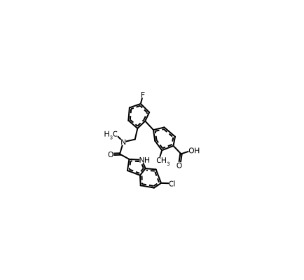 Cc1cc(-c2cc(F)ccc2CN(C)C(=O)c2cc3ccc(Cl)cc3[nH]2)ccc1C(=O)O